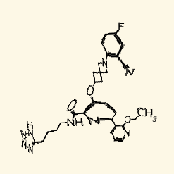 CCOc1ncccc1-c1ccc(OC2CC3(C2)CN(c2ccc(F)cc2C#N)C3)c(C(=O)NCCCCc2nnn[nH]2)n1